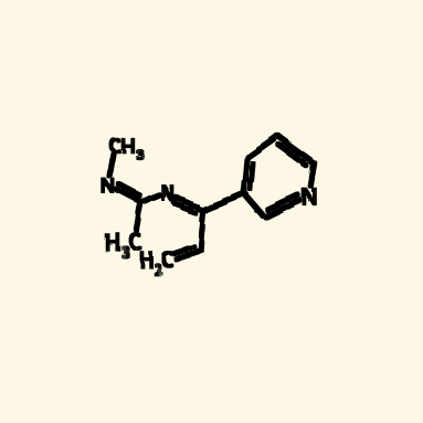 C=C/C(=N\C(C)=N/C)c1cccnc1